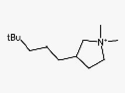 CC(C)(C)CCCC1CC[N+](C)(C)C1